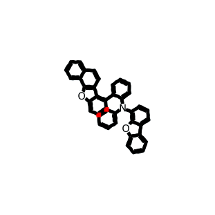 c1ccc(N(c2ccccc2-c2cccc3oc4c5ccccc5ccc4c23)c2cccc3c2oc2ccccc23)cc1